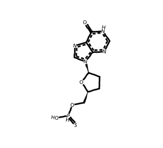 O=c1[nH]cnc2c1ncn2[C@H]1CC[C@@H](CO[PH](O)=S)O1